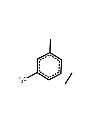 [CH2]C.[CH2]c1cccc(C(F)(F)F)c1